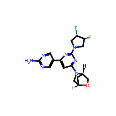 Nc1ncc(-c2cc(N3C[C@@H]4C[C@H]3CO4)nc(N3C[C@@H](F)[C@@H](F)C3)n2)cn1